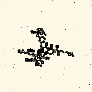 C=CC=C[C@H](OC)[C@H](C)[C@@H](OC)[C@@H](C)C(=O)N[C@H](C(=O)N[C@@H](Cc1cccc(O[Si](C)(C)C(C)(C)C)c1)C(=O)N1CCC[C@@H](C(=O)NCCC=C)N1)C(C)C